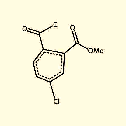 COC(=O)c1cc(Cl)ccc1C(=O)Cl